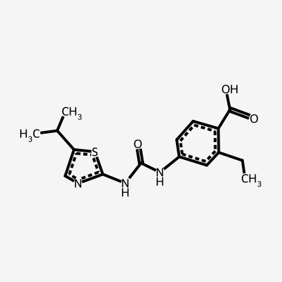 CCc1cc(NC(=O)Nc2ncc(C(C)C)s2)ccc1C(=O)O